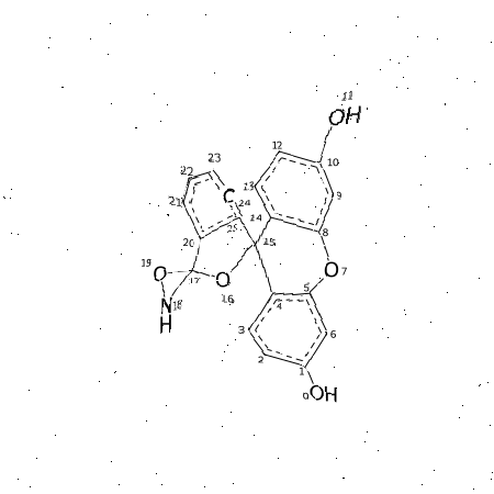 Oc1ccc2c(c1)Oc1cc(O)ccc1C21OC2(NO2)c2ccccc21